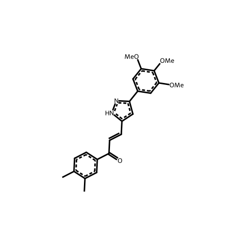 COc1cc(-c2cc(C=CC(=O)c3ccc(C)c(C)c3)[nH]n2)cc(OC)c1OC